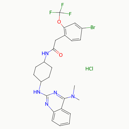 CN(C)c1nc(NC2CCC(NC(=O)Cc3ccc(Br)cc3OC(F)(F)F)CC2)nc2ccccc12.Cl